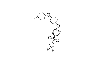 CN1CCC(OC2CCC(Oc3ccc(S(=O)(=O)N4CC(F)(F)C4)cc3)CC2)CC1